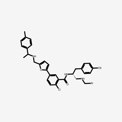 Cc1ccc(C(C)NCc2ccc(-c3ccc(Cl)c(C(=O)N[C@@H](CNCC(C)C)Cc4ccc(C#N)cc4)c3)o2)cc1